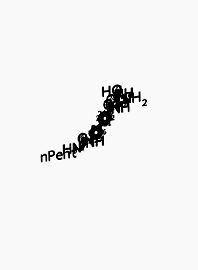 CCCCCNCC(=O)Nc1ccc(-c2ccc(C(=O)N[C@@H](CN)C(=O)NO)cc2)cc1